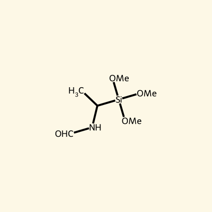 CO[Si](OC)(OC)C(C)NC=O